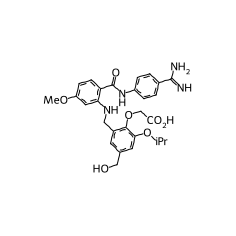 COc1ccc(C(=O)Nc2ccc(C(=N)N)cc2)c(NCc2cc(CO)cc(OC(C)C)c2OCC(=O)O)c1